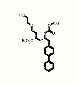 CCOC(=O)[C@H](CCOCCO)C[C@@H](Cc1ccc(-c2ccccc2)cc1)NC(=O)OC(C)(C)C